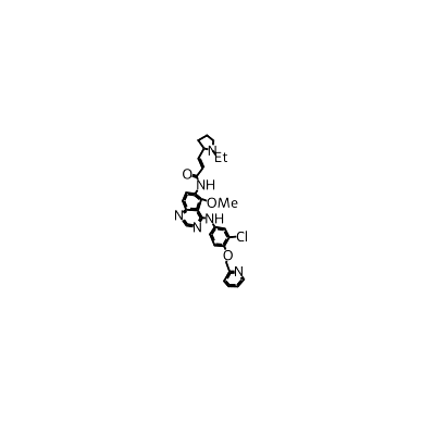 CCN1CCCC1/C=C/C(=O)Nc1ccc2ncnc(Nc3ccc(OCc4ccccn4)c(Cl)c3)c2c1OC